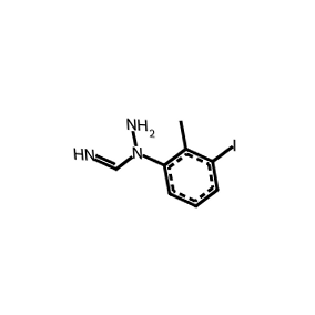 Cc1c(I)cccc1N(N)C=N